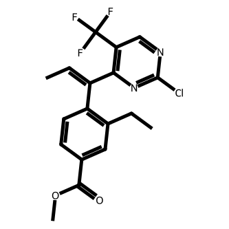 C/C=C(\c1ccc(C(=O)OC)cc1CC)c1nc(Cl)ncc1C(F)(F)F